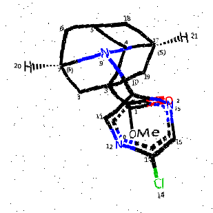 COC(=O)C12CC3C[C@H](C1)N(c1cnc(Cl)cn1)[C@@H](C3)C2